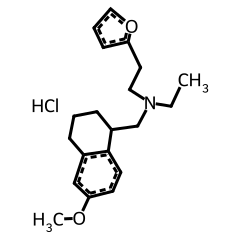 CCN(CCc1ccco1)CC1CCCc2cc(OC)ccc21.Cl